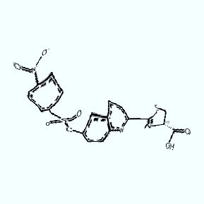 O=C(O)[C@H]1CSC(c2ccc3cc(OS(=O)(=O)c4ccc([N+](=O)[O-])cc4)ccc3n2)=N1